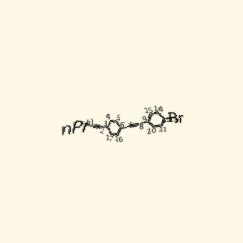 CCCC#Cc1ccc(C#Cc2ccc(Br)cc2)cc1